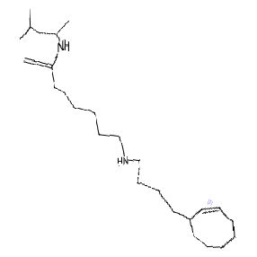 C=C(CCCCCCNCCCCC1/C=C\CCCCC1)NC(C)C(C)C